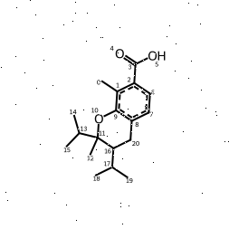 Cc1c(C(=O)O)ccc2c1OC(C)(C(C)C)C(C(C)C)C2